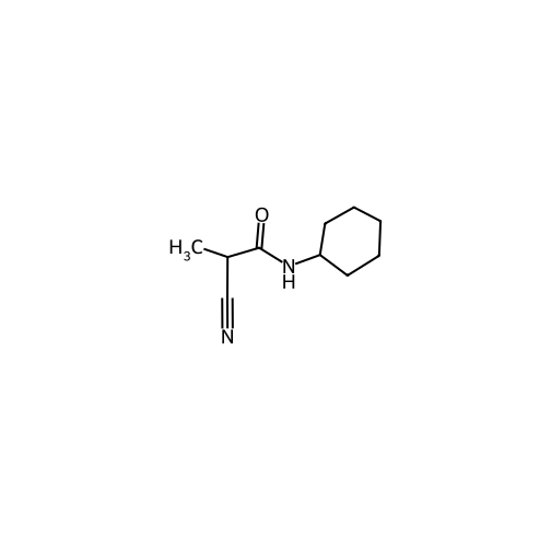 CC(C#N)C(=O)NC1CCCCC1